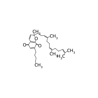 CCCCCC1=CC(=O)C2=C(OC(C)(CCC=C(C)CCC=C(C)CCC=C(C)C)C=C2)C1=O